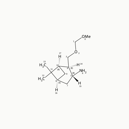 COCOC[C@H]1[C@H](N)C[C@@H]2C[C@H]1C2(C)C